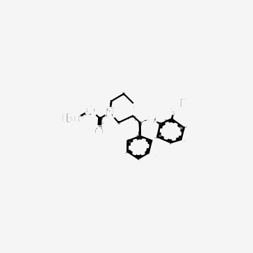 CCOc1ccccc1O[C@@H](c1ccccc1)[C@H]1CCCN(C(=O)OC(C)(C)C)C1